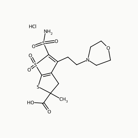 CC1(C(=O)O)CC2=C(S1)S(=O)(=O)C(S(N)(=O)=O)=C2CCN1CCOCC1.Cl